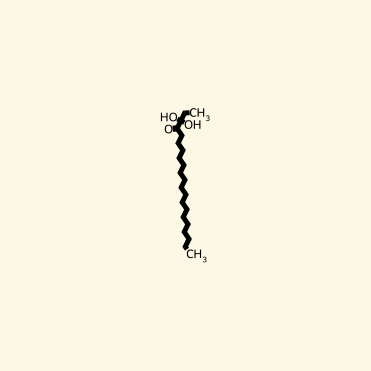 CCCCCCCCCCCCCCCCCC(=O)C(O)(O)CC